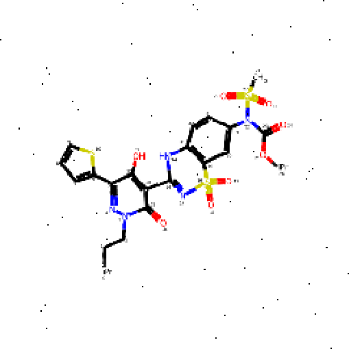 CC(C)CCn1nc(-c2cccs2)c(O)c(C2=NS(=O)(=O)c3cc(N(C(=O)OC(C)C)S(C)(=O)=O)ccc3N2)c1=O